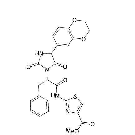 COC(=O)c1csc(NC(=O)[C@H](Cc2ccccc2)N2C(=O)NC(c3ccc4c(c3)OCCO4)C2=O)n1